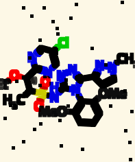 CCO[C@@H](c1ncc(Cl)cn1)C(C)S(=O)(=O)Nc1nnc(-c2ccn(C)n2)n1-c1c(OC)cccc1OC